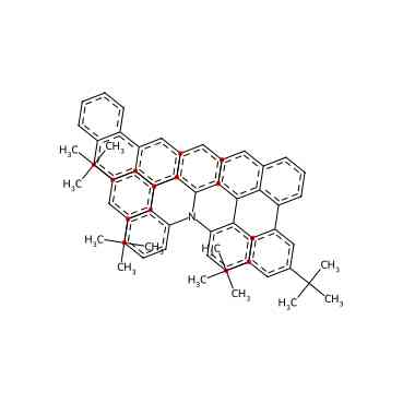 CC(C)(C)c1cc(-c2ccccc2N(c2ccccc2-c2cccc3c2ccc2ccccc23)c2ccccc2-c2cccc3cccc(-c4cc(C(C)(C)C)cc(C(C)(C)C)c4)c23)cc(C(C)(C)C)c1